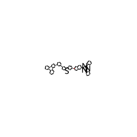 c1ccc(-c2nc(-c3ccccc3)nc(-c3ccc4cc(-c5ccc6c(c5)sc5ccc(-c7cccc(-c8ccc9c%10ccccc%10c%10ccccc%10c9c8)c7)cc56)ccc4c3)n2)cc1